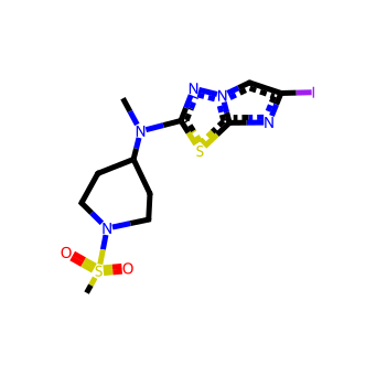 CN(c1nn2cc(I)nc2s1)C1CCN(S(C)(=O)=O)CC1